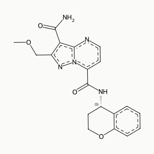 COCc1nn2c(C(=O)N[C@H]3CCOc4ccccc43)ccnc2c1C(N)=O